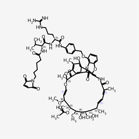 CO[C@H]1/C=C/O[C@@]2(C)Oc3c(C)c(O)c4c(=O)c(c5oc6cccc(OCc7ccc(NC(=O)[C@H](CCCNC(=N)N)NC(=O)[C@@H](NC(=O)CCCCCN8C(=O)C=CC8=O)C(C)C)cc7)c6nc-5c4c3C2=O)NC(=O)/C(C)=C\C=C\[C@H](C)[C@H](O)[C@@H](C)[C@@H](O)[C@@H](C)[C@H](OC(C)=O)[C@@H]1C